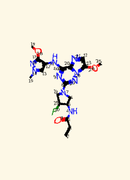 C=CC(=O)NC1CN(c2nc(Nc3cn(C)nc3OC)c3ncc(OC)n3n2)CC1F